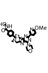 CCn1c(CN(C)Cc2ccc(C(=O)NO)cc2)nc2c(N3CCOCC3)nc(-c3ccc(OC)nc3)nc21